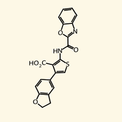 O=C(Nc1scc(-c2ccc3c(c2)CCO3)c1C(=O)O)c1nc2ccccc2o1